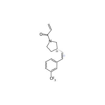 C=CC(=O)N1CC[C@@H](/C=C\c2cccc(C(F)(F)F)c2)C1